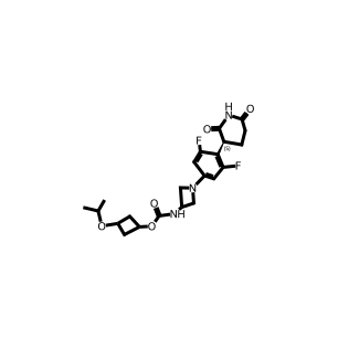 CC(C)OC1CC(OC(=O)NC2CN(c3cc(F)c([C@@H]4CCC(=O)NC4=O)c(F)c3)C2)C1